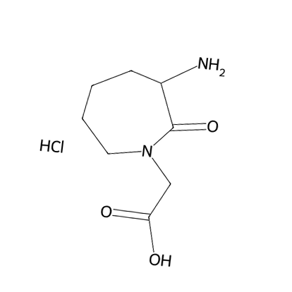 Cl.NC1CCCCN(CC(=O)O)C1=O